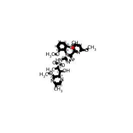 COc1cccc(-c2nnc(NS(=O)(=O)C(C)C(O)c3ncc(C)nc3OC)n2-c2c(OC)cccc2OC)n1